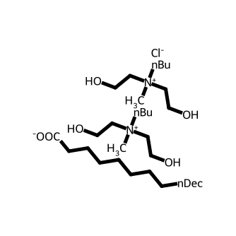 CCCCCCCCCCCCCCCCCC(=O)[O-].CCCC[N+](C)(CCO)CCO.CCCC[N+](C)(CCO)CCO.[Cl-]